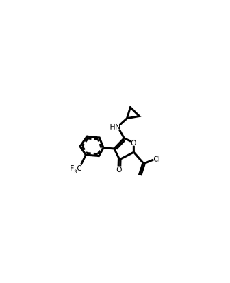 C=C(Cl)C1OC(NC2CC2)=C(c2cccc(C(F)(F)F)c2)C1=O